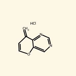 C=C1C=COc2cncnc21.Cl